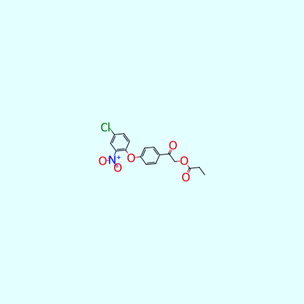 CCC(=O)OCC(=O)c1ccc(Oc2ccc(Cl)cc2[N+](=O)[O-])cc1